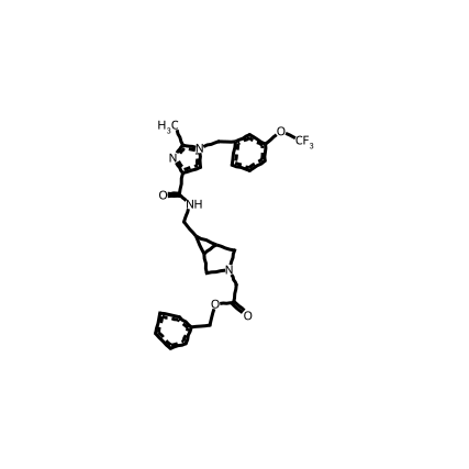 Cc1nc(C(=O)NCC2C3CN(CC(=O)OCc4ccccc4)CC23)cn1Cc1cccc(OC(F)(F)F)c1